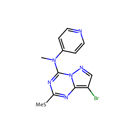 CSc1nc(N(C)c2ccncc2)n2ncc(Br)c2n1